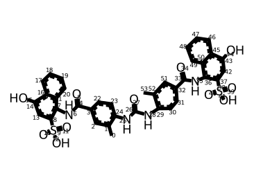 Cc1cc(C(=O)Nc2c(S(=O)(=O)O)cc(O)c3ccccc23)ccc1NC(=O)Nc1ccc(C(=O)Nc2c(S(=O)(=O)O)cc(O)c3ccccc23)cc1C